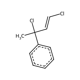 CC(Cl)(C=CCl)c1ccccc1